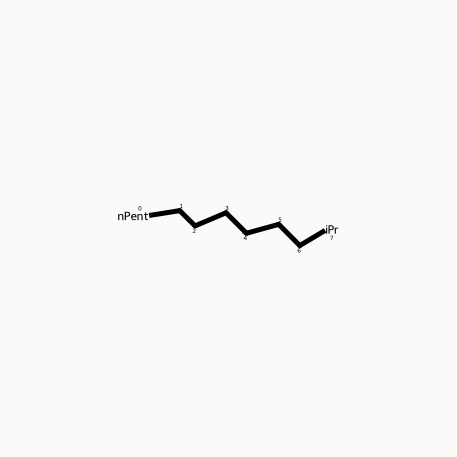 CCCCCCCC[CH]CCC(C)C